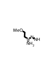 COCCN(N)N=N